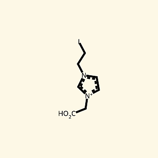 O=C(O)C[n+]1ccn(CCI)c1